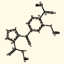 COCc1cc(C(=O)c2cccn2C(=O)OC(C)(C)C)ccc1C(=O)OC